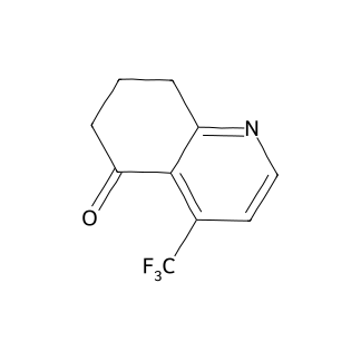 O=C1CCCc2nccc(C(F)(F)F)c21